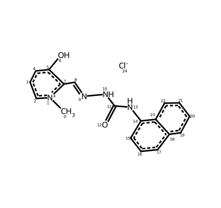 C[n+]1cccc(O)c1C=NNC(=O)Nc1cccc2ccccc12.[Cl-]